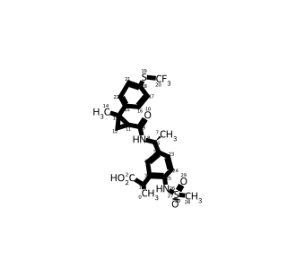 CC(C(=O)O)c1cc([C@@H](C)NC(=O)C2CC2(C)c2ccc(SC(F)(F)F)cc2)ccc1NS(C)(=O)=O